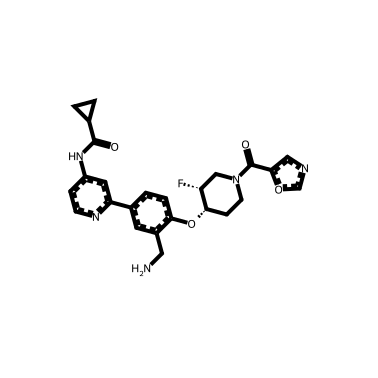 NCc1cc(-c2cc(NC(=O)C3CC3)ccn2)ccc1O[C@H]1CCN(C(=O)c2cnco2)C[C@H]1F